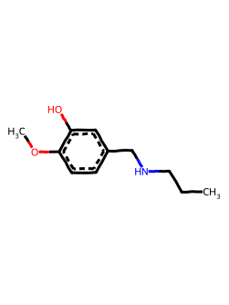 CCCNCc1ccc(OC)c(O)c1